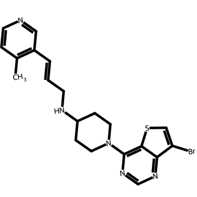 Cc1ccncc1/C=C/CNC1CCN(c2ncnc3c(Br)csc23)CC1